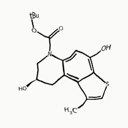 Cc1csc2c(O)cc3c(c12)C[C@@H](O)CN3C(=O)OC(C)(C)C